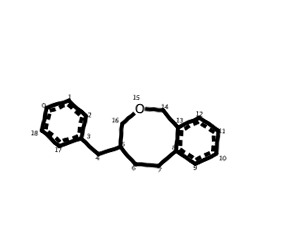 c1ccc(CC2CCc3ccccc3COC2)cc1